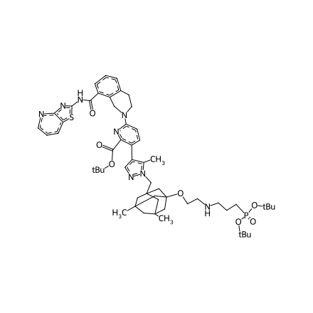 Cc1c(-c2ccc(N3CCc4cccc(C(=O)Nc5nc6ncccc6s5)c4C3)nc2C(=O)OC(C)(C)C)cnn1CC12CC3(C)CC(C)(C1)CC(OCCNCCCP(=O)(OC(C)(C)C)OC(C)(C)C)(C3)C2